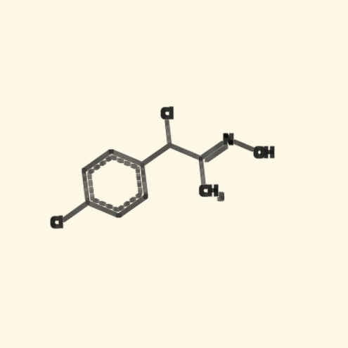 C/C(=N\O)C(Cl)c1ccc(Cl)cc1